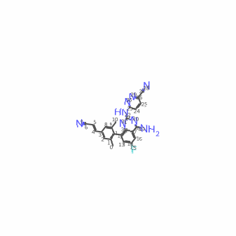 Cc1cc(C=CC#N)cc(C)c1-c1cc(F)cc2c(N)nc(Nc3ccc(C#N)nn3)nc12